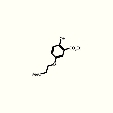 CCOC(=O)c1cc(OCCOC)ccc1O